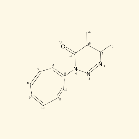 CC1N=NN(C2=C/C=C\C=C/C=C\2)C(=O)C1C